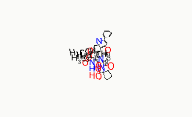 COc1ccc2c(O[C@@H]3C[C@@H](C(=O)NC4(C(=O)O)CCCCC4)N(C(=O)[C@@H](NC(=O)OC(C)(C)C)C(C)C)C3)cc(-c3ccccc3)nc2c1